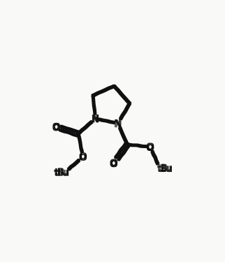 CC(C)(C)OC(=O)N1CCCN1C(=O)OC(C)(C)C